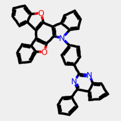 c1ccc(-c2nc(-c3ccc(-n4c5ccccc5c5c6oc7ccccc7c6c6c7ccccc7oc6c54)cc3)nc3ccccc23)cc1